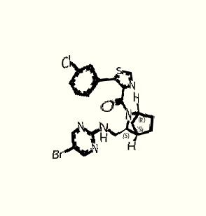 O=C(c1ncsc1-c1cccc(Cl)c1)N1[C@@H]2CC[C@@H](C2)[C@H]1CNc1ncc(Br)cn1